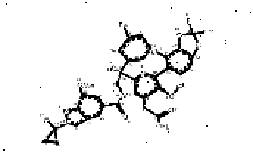 CCOc1c(CC(N)=O)cc([C@@](O)(CNC(=O)c2cc(OC)c3nn(C4(F)CC4)cc3c2)c2cccc(F)c2)nc1-c1ccc2c(c1Cl)OC(F)(F)O2